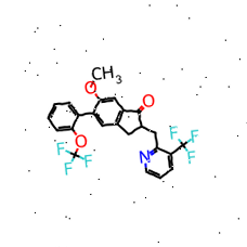 COc1cc2c(cc1-c1ccccc1OC(F)(F)F)CC(Cc1ncccc1C(F)(F)F)C2=O